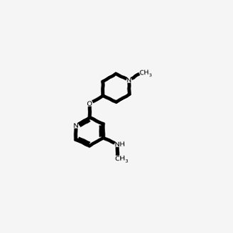 CNc1ccnc(OC2CCN(C)CC2)c1